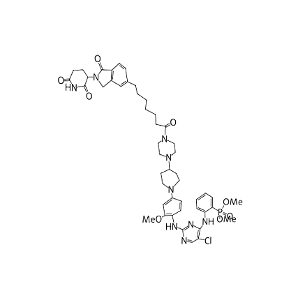 COc1cc(N2CCC(N3CCN(C(=O)CCCCCCc4ccc5c(c4)CN(C4CCC(=O)NC4=O)C5=O)CC3)CC2)ccc1Nc1ncc(Cl)c(Nc2ccccc2P(=O)(OC)OC)n1